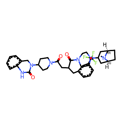 CN1[C@@H]2CC[C@H]1CC(N1CCN(C(=O)C(CC(=O)N3CCC(N4Cc5ccccc5NC4=O)CC3)Cc3cccc(C(F)(F)F)c3)CC1)C2